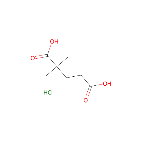 CC(C)(CCC(=O)O)C(=O)O.Cl